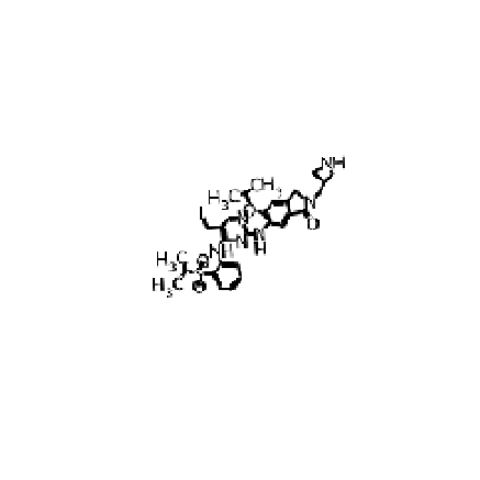 CC(C)Oc1cc2c(cc1Nc1ncc(CI)c(Nc3ccccc3S(=O)(=O)C(C)C)n1)C(=O)N(CC1CNC1)C2